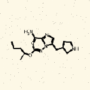 CCC[C@H](C)Oc1nc(N)c2ncc(CC3CCNC3)n2n1